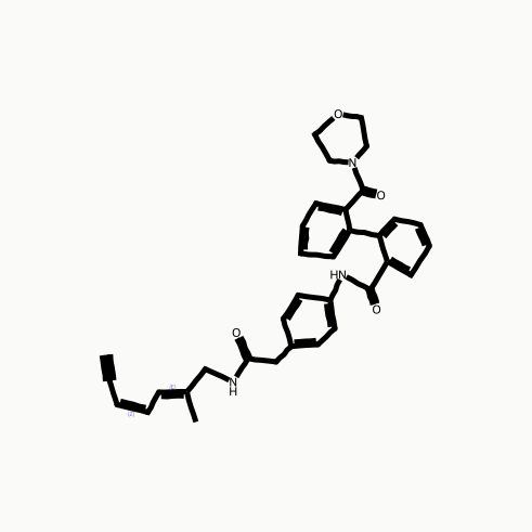 C#C/C=C\C=C(/C)CNC(=O)Cc1ccc(NC(=O)c2ccccc2-c2ccccc2C(=O)N2CCOCC2)cc1